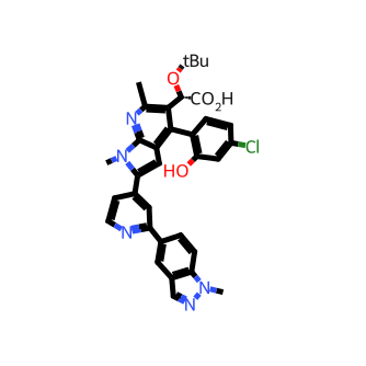 Cc1nc2c(cc(-c3ccnc(-c4ccc5c(cnn5C)c4)c3)n2C)c(-c2ccc(Cl)cc2O)c1[C@H](OC(C)(C)C)C(=O)O